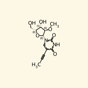 CC#Cc1cn([C@@H]2O[C@H](CO)[C@H](O)[C@H]2OC)c(=O)[nH]c1=O